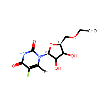 CCc1c(F)c(=O)[nH]c(=O)n1[C@H]1O[C@@H](COCC=O)C(O)C1O